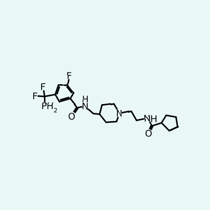 O=C(NCC1CCN(CCNC(=O)C2CCCC2)CC1)c1cc(F)cc(C(F)(F)P)c1